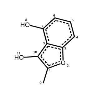 Cc1oc2cc[c]c(O)c2c1O